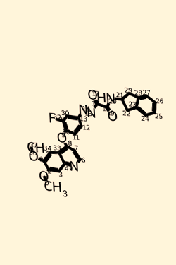 COc1cc2nccc(Oc3ccc(N=NC(=O)C(=O)NC4Cc5ccccc5C4)cc3F)c2cc1OC